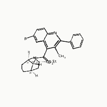 CCOC(=O)[C@@H]1C[C@H]2CC[C@@H](C1)[C@@H]2NC(=O)c1c(C)c(-c2ccccc2)nc2ccc(Br)cc12